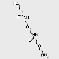 NCCOCCC(=O)NCCOCCNC(=O)CCCO